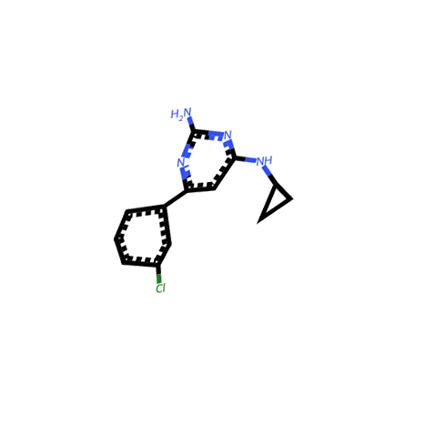 Nc1nc(NC2CC2)cc(-c2cccc(Cl)c2)n1